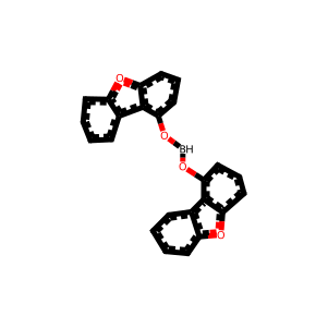 B(Oc1cccc2oc3ccccc3c12)Oc1cccc2oc3ccccc3c12